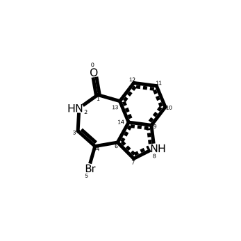 O=C1NC=C(Br)c2c[nH]c3cccc1c23